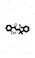 CN1/C(=C\C(=O)c2ccccc2O)C(C)(C)c2ccccc21